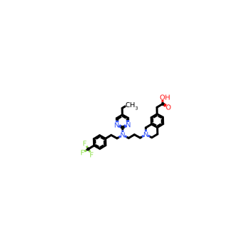 CCc1cnc(N(CCCN2CCc3ccc(CC(=O)O)cc3C2)CCc2ccc(C(F)(F)F)cc2)nc1